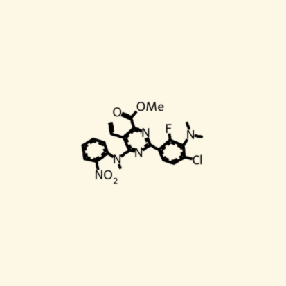 C=Cc1c(C(=O)OC)nc(-c2ccc(Cl)c(N(C)C)c2F)nc1N(C)c1ccccc1[N+](=O)[O-]